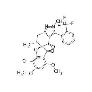 COc1cc(OC)c2c(c1Cl)O[C@]1(C2=O)C(=O)c2c(nn(C)c2-c2ccccc2C(F)(F)F)C[C@H]1C